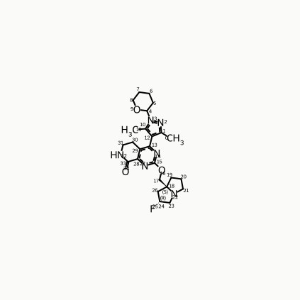 Cc1nn(C2CCCCO2)c(C)c1-c1nc(OC[C@@]23CCCN2C[C@H](F)C3)nc2c1CCNC2=O